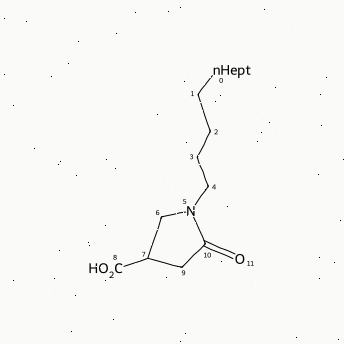 CCCCCCCCCCCN1CC(C(=O)O)CC1=O